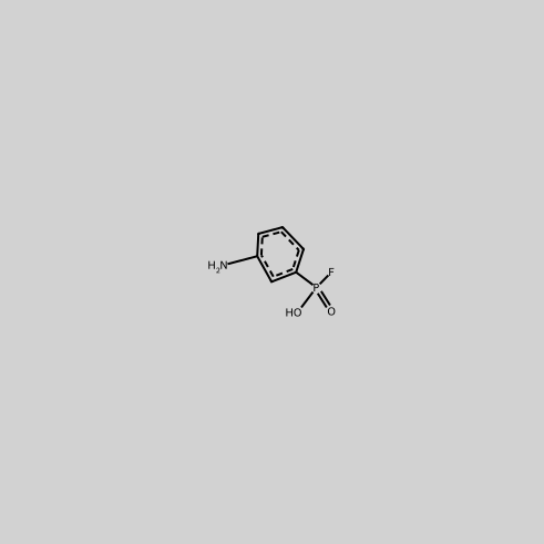 Nc1cccc(P(=O)(O)F)c1